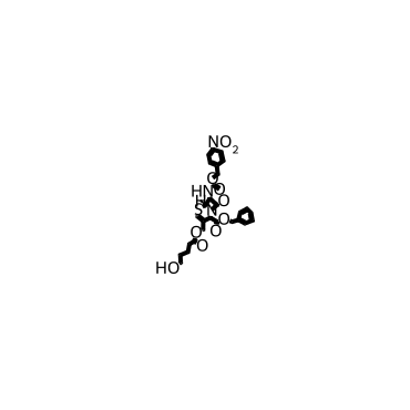 O=C(CCCCO)OCC1=CS[C@@H]2C(NC(=O)OCc3ccc([N+](=O)[O-])cc3)C(=O)N2C1C(=O)OCc1ccccc1